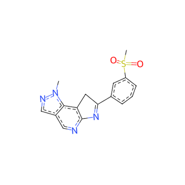 Cn1ncc2cnc3c(c21)CC(c1cccc(S(C)(=O)=O)c1)=N3